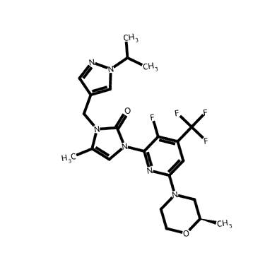 Cc1cn(-c2nc(N3CCO[C@H](C)C3)cc(C(F)(F)F)c2F)c(=O)n1Cc1cnn(C(C)C)c1